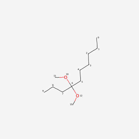 CCCCCCC(CCC)(OC)OC